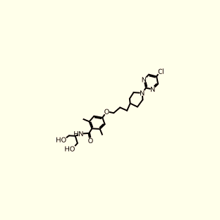 Cc1cc(OCCCC2CCN(c3ncc(Cl)cn3)CC2)cc(C)c1C(=O)NC(CO)CO